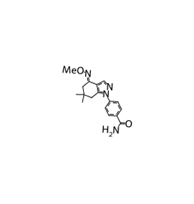 CO/N=C1\CC(C)(C)Cc2c1cnn2-c1ccc(C(N)=O)cc1